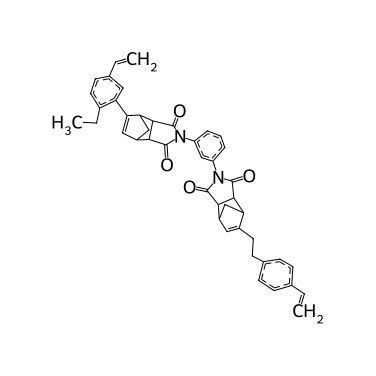 C=Cc1ccc(CCC2=CC3CC2C2C(=O)N(c4cccc(N5C(=O)C6C7C=C(c8cc(C=C)ccc8CC)C(C7)C6C5=O)c4)C(=O)C32)cc1